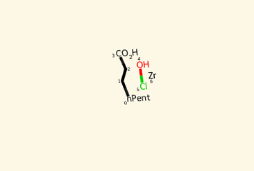 CCCCCCCC(=O)O.OCl.[Zr]